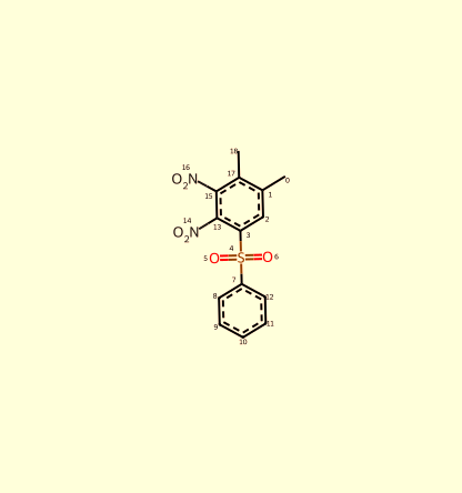 Cc1cc(S(=O)(=O)c2ccccc2)c([N+](=O)[O-])c([N+](=O)[O-])c1C